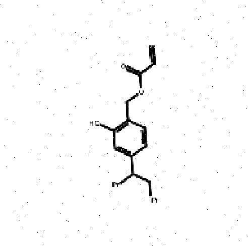 C=CC(=O)OCc1ccc(C(CC(C)C)C(C)C)cc1O